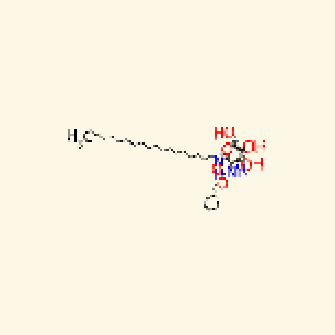 CCCCCCCCCCCCCCCCCCN[C@@H]1O[C@H](CO)[C@@H](O)[C@H](O)[C@@H]1NC(=O)OCc1ccccc1